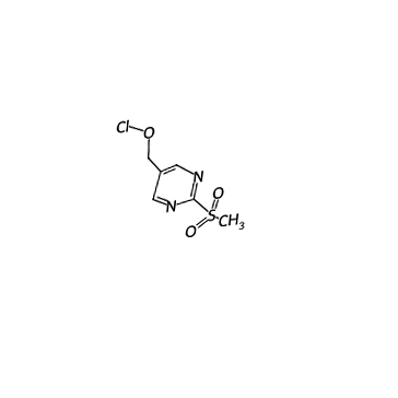 CS(=O)(=O)c1ncc(COCl)cn1